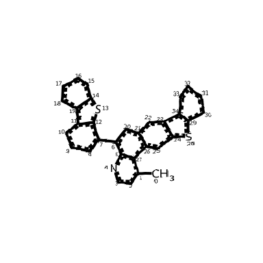 Cc1ccnc2c(-c3cccc4c3sc3ccccc34)cc3cc4c(cc3c12)sc1ccccc14